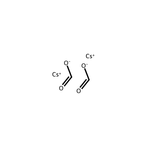 O=C[O-].O=C[O-].[Cs+].[Cs+]